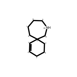 C1=CC2(CCC1)CCCCNC2